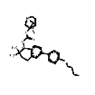 CCCCOc1ccc(-c2ccc3c(c2)CCC(C)(C)[C@H]3NC(=O)O[C@H]2CN3CCC2CC3)cc1